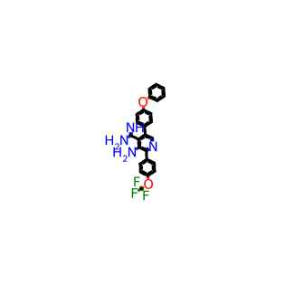 N=C(N)c1c(-c2ccc(Oc3ccccc3)cc2)cnc(-c2ccc(OC(F)(F)F)cc2)c1N